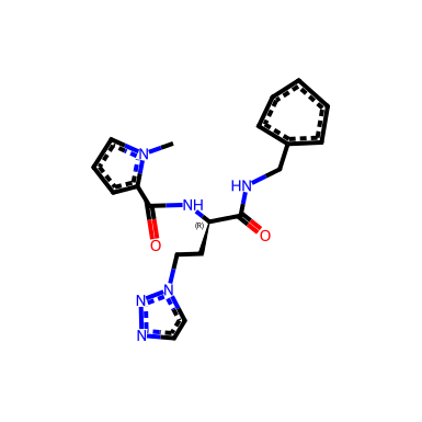 Cn1cccc1C(=O)N[C@H](CCn1ccnn1)C(=O)NCc1ccccc1